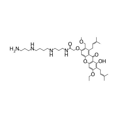 CCOc1cc2oc3cc(OCC(=O)NCCCNCCCCNCCCN)c(COC)c(CC=C(C)C)c3c(=O)c2c(O)c1CC=C(C)C